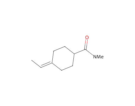 CC=C1CCC(C(=O)NC)CC1